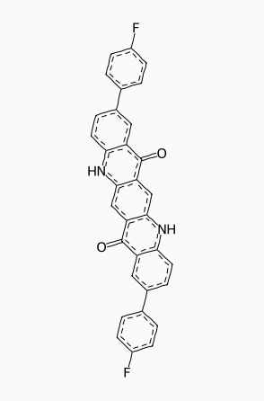 O=c1c2cc(-c3ccc(F)cc3)ccc2[nH]c2cc3c(=O)c4cc(-c5ccc(F)cc5)ccc4[nH]c3cc12